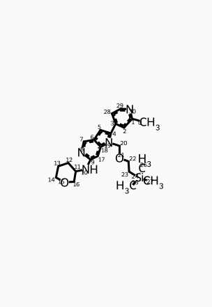 Cc1cc(-c2cc3cnc(NC4CCCOC4)cc3n2COCC[Si](C)(C)C)ccn1